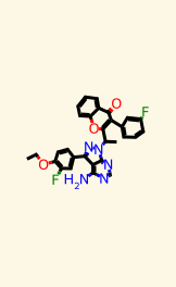 CCOc1ccc(-c2nn(C(C)c3oc4ccccc4c(=O)c3-c3cccc(F)c3)c3ncnc(N)c23)cc1F